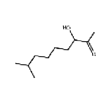 CC(=O)C(O)CCCCC(C)C